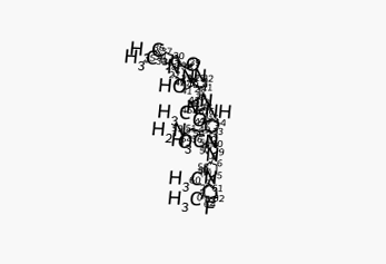 Cc1cc(N2CCC(N3CCN(c4ccc(Nc5nc(-c6ccnc(N7CCn8c(cc9c8CC(C)(C)C9)C7=O)c6CO)cn(C)c5=O)cc4C=CC(N)=O)[C@@H](C)C3)C[C@@H]2C)ccc1F